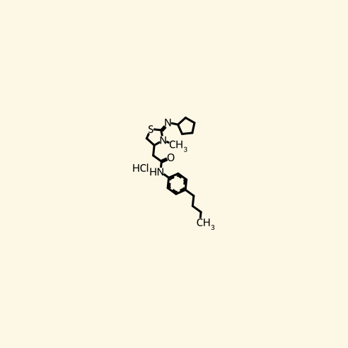 CCCCc1ccc(NC(=O)CC2CSC(=NC3CCCC3)N2C)cc1.Cl